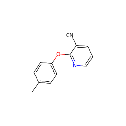 [C-]#[N+]c1cccnc1Oc1ccc(C)cc1